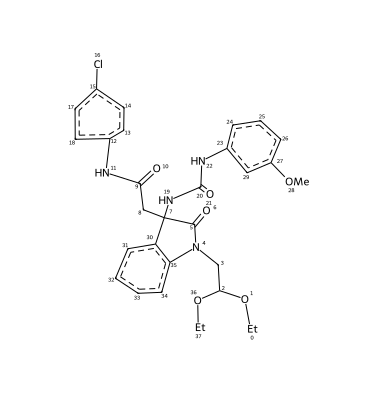 CCOC(CN1C(=O)C(CC(=O)Nc2ccc(Cl)cc2)(NC(=O)Nc2cccc(OC)c2)c2ccccc21)OCC